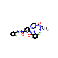 CCNC(=O)N1CCCN(c2ccc(C(=O)NCCc3ccccc3F)cc2NC(=O)c2cccc(Cl)c2)CC1